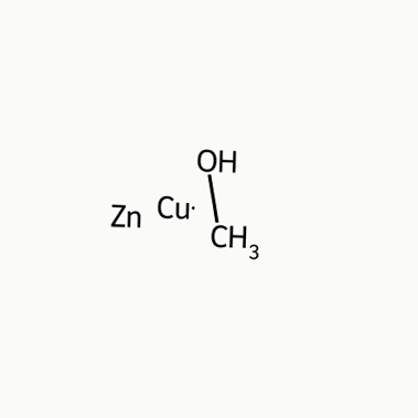 CO.[Cu].[Zn]